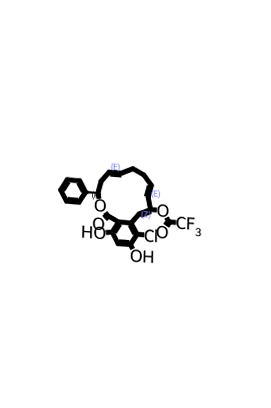 O=C1O[C@@H](c2ccccc2)C/C=C/CC/C=C/C(OC(=O)C(F)(F)F)=C/c2c(Cl)c(O)cc(O)c21